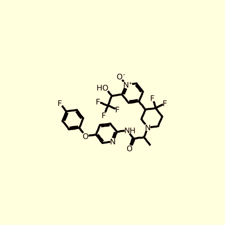 CC(C(=O)Nc1ccc(Oc2ccc(F)cc2)cn1)N1CCC(F)(F)C(c2cc[n+]([O-])c(C(O)C(F)(F)F)c2)C1